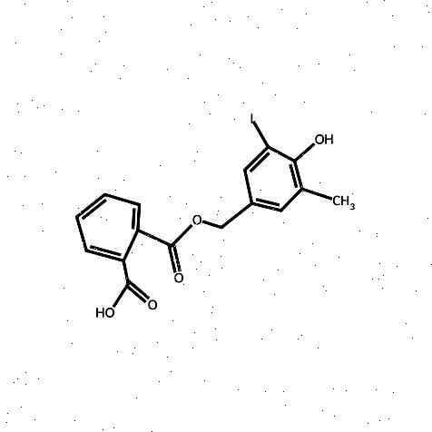 Cc1cc(COC(=O)c2ccccc2C(=O)O)cc(I)c1O